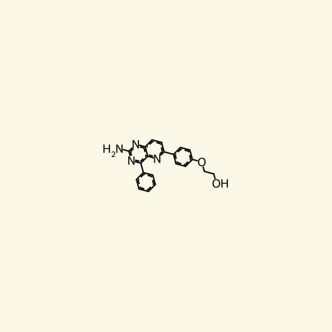 Nc1nc(-c2ccccc2)c2nc(-c3ccc(OCCO)cc3)ccc2n1